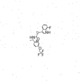 C[C@@H](NC(=O)C1CC1c1c[nH]c2c(F)cccc12)c1ccc(OCC(F)(F)F)cn1